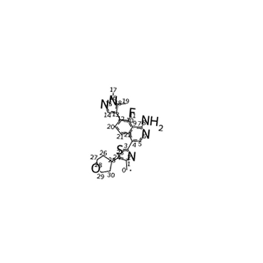 [CH2]c1nc(-c2cnc(N)c3c(F)c(-c4cnn(C)c4C)ccc23)sc1C1CCOCC1